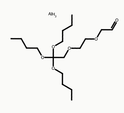 CCCCOC(COCCOCC=O)(OCCCC)OCCCC.[AlH3]